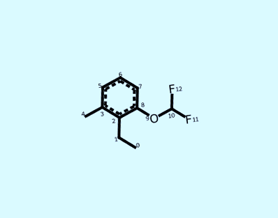 CCc1c(C)cccc1OC(F)F